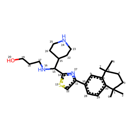 CC1(C)CCC(C)(C)c2cc(-c3csc(C(NCCCO)C4CCNCC4)n3)ccc21